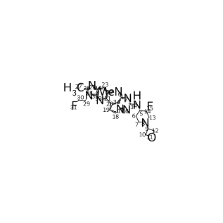 CNc1nc(N[C@H]2CCN(C3COC3)C[C@H]2F)nn2ccc(-c3ccc4nc(C)n(CCF)c4n3)c12